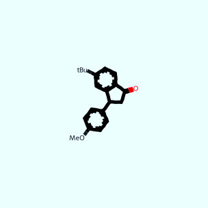 COc1ccc(C2CC(=O)c3ccc(C(C)(C)C)cc32)cc1